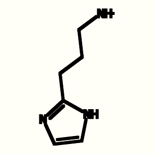 [NH]CCCc1ncc[nH]1